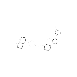 Cc1cc(-c2ncn3c2COc2c(CCN4CCC(c5cccc6nc(C)ccc56)CC4)cccc2-3)[nH]n1